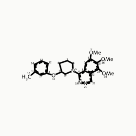 COc1cc2c(N3CCCC(Oc4cccc(C)c4)C3)nncc2c(OC)c1OC